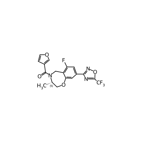 C[C@H]1COc2cc(-c3noc(C(F)(F)F)n3)cc(F)c2CN1C(=O)c1ccoc1